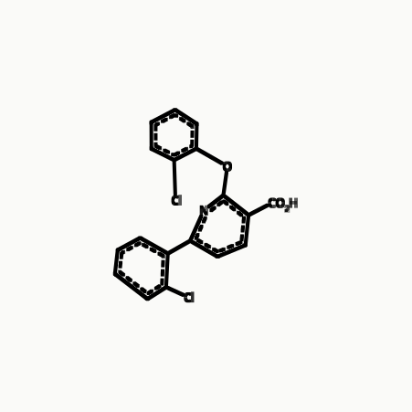 O=C(O)c1ccc(-c2ccccc2Cl)nc1Oc1ccccc1Cl